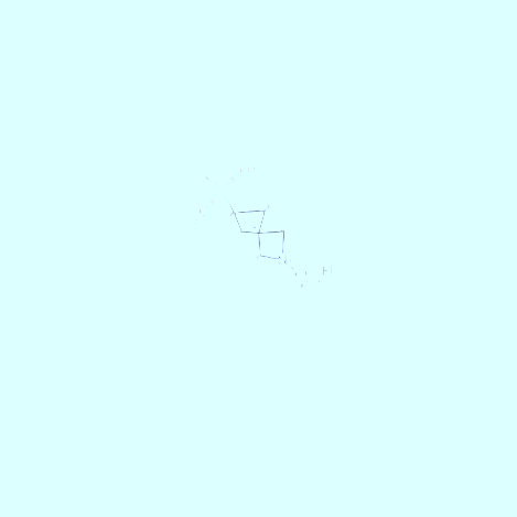 CS(=O)(=O)C1CC2(C1)CN(C(=O)O)C2